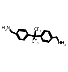 NCc1ccc(C(c2ccc(CN)cc2)(C(F)(F)F)C(F)(F)F)cc1